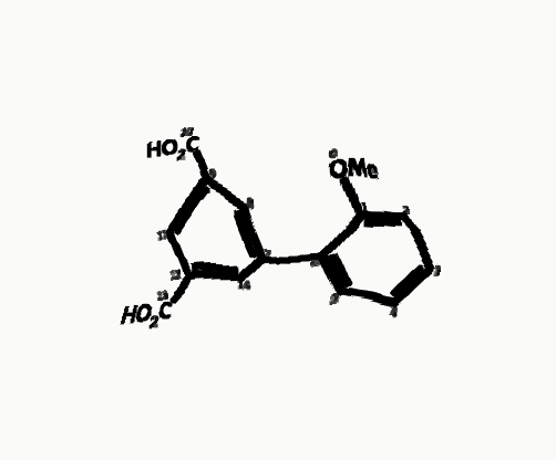 COc1ccccc1-c1cc(C(=O)O)cc(C(=O)O)c1